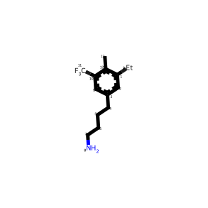 CCc1cc(CCCCN)cc(C(F)(F)F)c1C